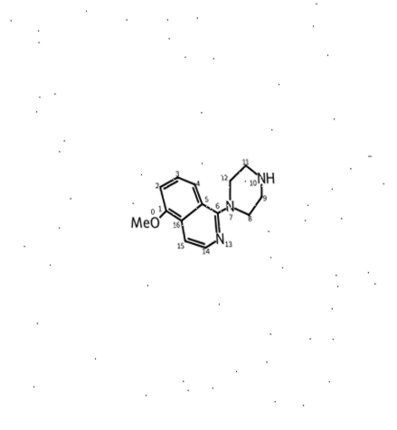 COc1cccc2c(N3CCNCC3)nccc12